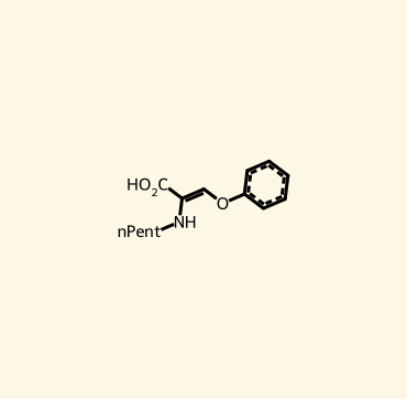 CCCCCNC(=COc1ccccc1)C(=O)O